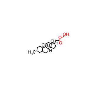 C[C@H]1CC[C@@]2(C)C(CC[C@@H]3C2CC[C@]2(C)[C@@H](CC(=O)OCO)CC[C@@H]32)C1